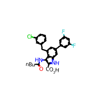 CCCCC(=O)Nc1c(C(=O)O)[nH]c2cc(-c3cc(F)cc(F)c3)cc(Cc3cccc(Cl)c3)c12